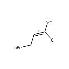 CCCC/C=C(/O)Cl